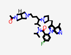 CC(=O)N1CC2CN(CCCC(C(C)C)N3CC[C@@H](Cc4cn(-c5ccc(F)cc5C(=O)N(C)C(C)C)c5cncc(C)c45)C3)C[C@H]2C1